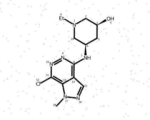 CCN1C[C@@H](O)C[C@@H](Nc2nnc(Cl)c3c2cnn3C)C1